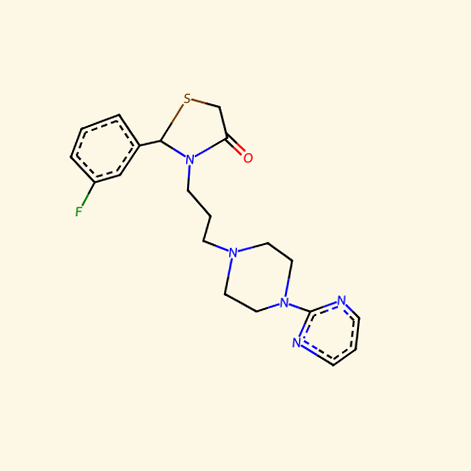 O=C1CSC(c2cccc(F)c2)N1CCCN1CCN(c2ncccn2)CC1